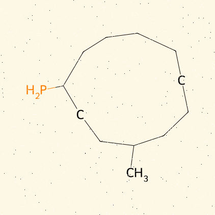 CC1CCCCCCCC(P)CC1